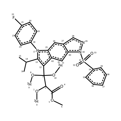 [2H]OC(C(=O)OC)C(O[2H])(O[2H])c1c(C(C)C)n(-c2ccc(F)cc2)c2cc3cnn(S(=O)(=O)c4ccccc4)c3cc12